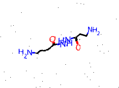 NCCCC(=O)NNC(=O)CCN